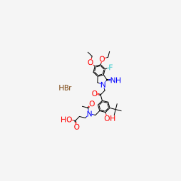 Br.CCOc1cc2c(c(F)c1OCC)C(=N)N(CC(=O)c1cc(CN(CCC(=O)O)C(C)=O)c(O)c(C(C)(C)C)c1)C2